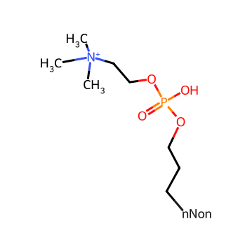 CCCCCCCCCCCCOP(=O)(O)OCC[N+](C)(C)C